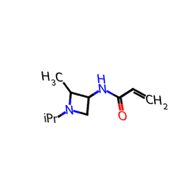 C=CC(=O)NC1CN(C(C)C)C1C